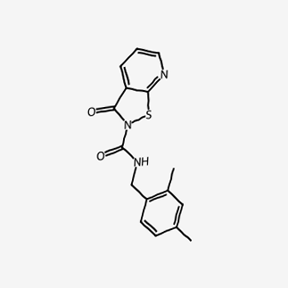 Cc1ccc(CNC(=O)n2sc3ncccc3c2=O)c(C)c1